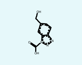 O=C(O)n1nnc2ccc(CO)cc21